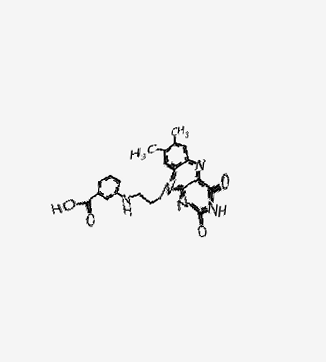 Cc1cc2nc3c(=O)[nH]c(=O)nc-3n(CCNc3cccc(C(=O)O)c3)c2cc1C